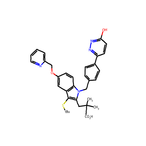 CC(C)(C)Sc1c(CC(C)(C)C(=O)O)n(Cc2ccc(-c3ccc(O)nn3)cc2)c2ccc(OCc3ccccn3)cc12